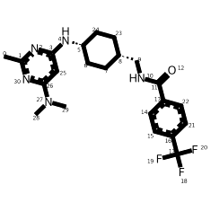 Cc1nc(N[C@H]2CC[C@@H](CNC(=O)c3ccc(C(F)(F)F)cc3)CC2)cc(N(C)C)n1